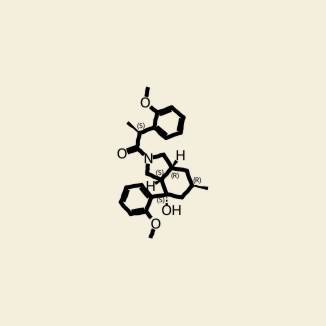 COc1ccccc1[C@H](C)C(=O)N1C[C@@H]2C[C@@H](C)C[C@@](O)(c3ccccc3OC)[C@@H]2C1